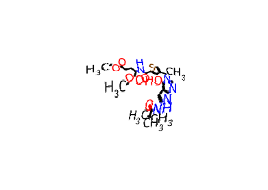 CCOC(=O)CCC(NC(=O)c1cc(C(C)n2cnc3nc(NC(=O)C(C)(C)C)cc-3c2O)cs1)C(=O)OCC